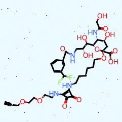 C#CCOCCOCCNc1c(NCCCCCCO[C@]2(C(=O)O)C[C@H](O)[C@@H](NC(=O)CO)[C@H]([C@H](O)[C@H](O)CNC(=O)c3cccc(C(F)F)c3)O2)c(=O)c1=O